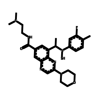 Cc1ccc(N(S)C(C)c2cc(C(=O)NCCN(C)C)cc3ncc(N4CCOCC4)nc23)cc1F